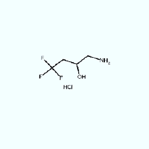 Cl.NCC(O)CC(F)(F)F